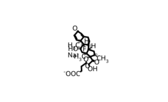 C[C@@H]1C[C@H]2[C@@H]3CCC4=CC(=O)C=C[C@]4(C)[C@@]3(F)[C@@H](O)C[C@]2(C)[C@@]1(OC(=O)CCC(=O)[O-])C(=O)CO.[Na+]